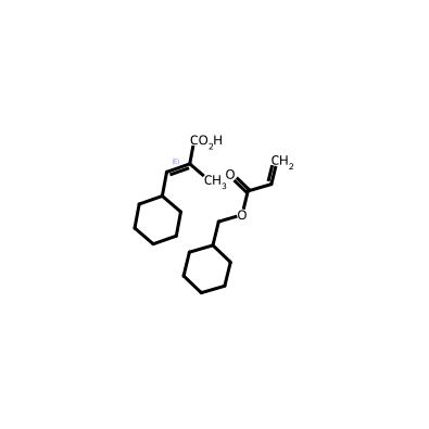 C/C(=C\C1CCCCC1)C(=O)O.C=CC(=O)OCC1CCCCC1